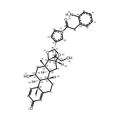 C[C@]12C=CC(=O)C=C1CC[C@@H]1[C@@H]2[C@@H](O)C[C@@]2(C)[C@H]1C[C@H]1O[C@@H](c3ccn(C(=O)Cc4ccccc4N)c3)O[C@]12C(=O)CO